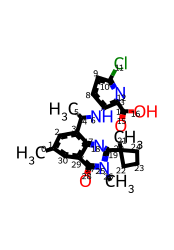 Cc1cc(C(C)Nc2ccc(Cl)nc2C(=O)O)c2nc(C3(C)CCC3)n(C)c(=O)c2c1